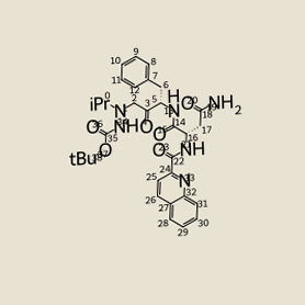 CC(C)N(CC(=O)[C@H](Cc1ccccc1)NC(=O)[C@H](CC(N)=O)NC(=O)c1ccc2ccccc2n1)NC(=O)OC(C)(C)C